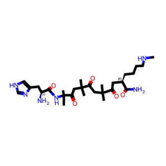 CNCCCC[C@H](CC(=O)C(C)(C)CC(=O)C(C)(C)CC(=O)C(C)(C)NC(=O)[C@@H](N)Cc1c[nH]cn1)C(N)=O